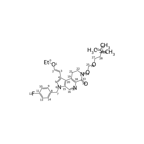 CCOC=Cc1cn(Cc2ccc(F)cc2)c2cnc3c(c12)CCN(OCOCC[Si](C)(C)C)C3=O